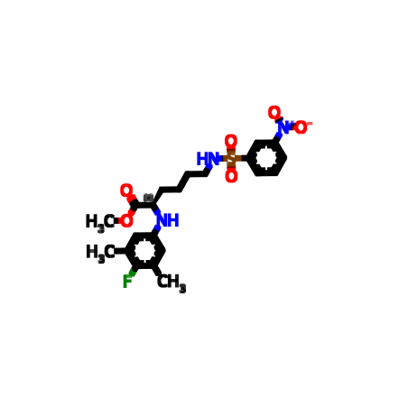 COC(=O)[C@@H](CCCCNS(=O)(=O)c1cccc([N+](=O)[O-])c1)Nc1cc(C)c(F)c(C)c1